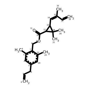 C=CCc1cc(C)c(COC(=O)C2C(C=C(C)C=C)C2(C)C)c(C)c1